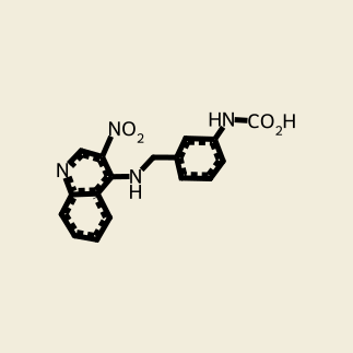 O=C(O)Nc1cccc(CNc2c([N+](=O)[O-])cnc3ccccc23)c1